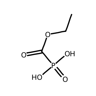 CCOC(=O)P(=O)(O)O